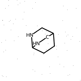 C1CC2NCC1CN2